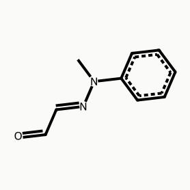 CN(/N=C/C=O)c1ccccc1